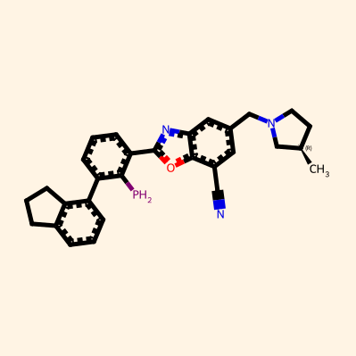 C[C@@H]1CCN(Cc2cc(C#N)c3oc(-c4cccc(-c5cccc6c5CCC6)c4P)nc3c2)C1